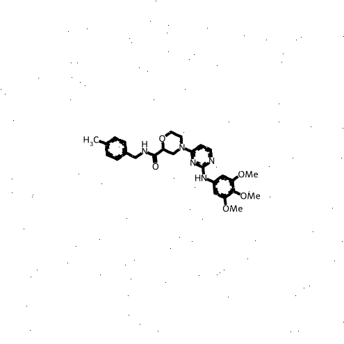 COc1cc(Nc2nccc(N3CCOC(C(=O)NCc4ccc(C)cc4)C3)n2)cc(OC)c1OC